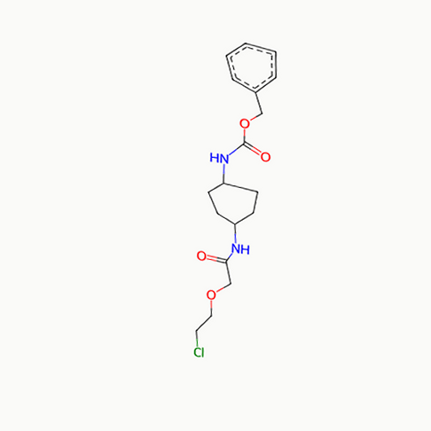 O=C(COCCCl)NC1CCC(NC(=O)OCc2ccccc2)CC1